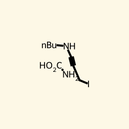 CCCCNC#CCI.NC(=O)O